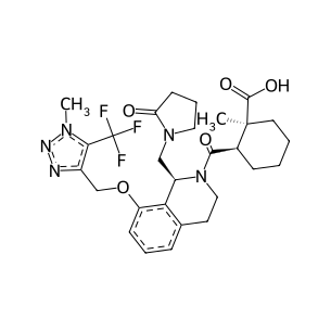 Cn1nnc(COc2cccc3c2[C@@H](CN2CCCC2=O)N(C(=O)[C@@H]2CCCC[C@]2(C)C(=O)O)CC3)c1C(F)(F)F